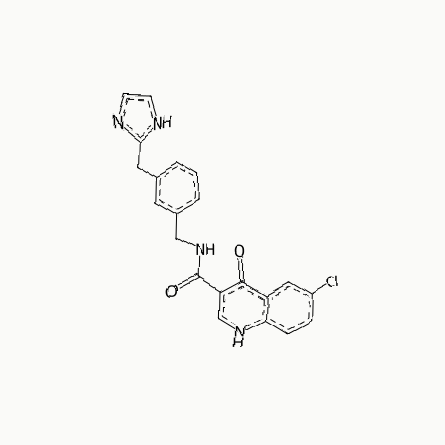 O=C(NCc1cccc(Cc2ncc[nH]2)c1)c1c[nH]c2ccc(Cl)cc2c1=O